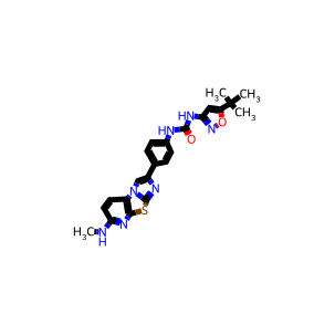 CNc1ccc2c(n1)sc1nc(-c3ccc(NC(=O)Nc4cc(C(C)(C)C)on4)cc3)cn12